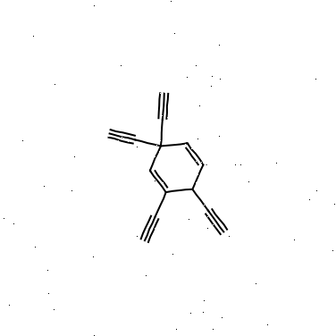 C#CC1=CC(C#C)(C#C)C=[C]C1C#C